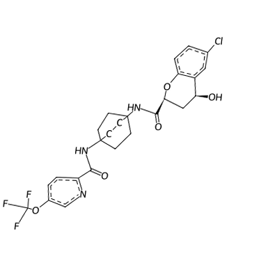 O=C(NC12CCC(NC(=O)[C@@H]3C[C@H](O)c4cc(Cl)ccc4O3)(CC1)CC2)c1ccc(OC(F)(F)F)cn1